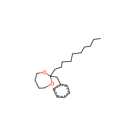 CCCCCCCCCCC1(Cc2ccccc2)OCCCCO1